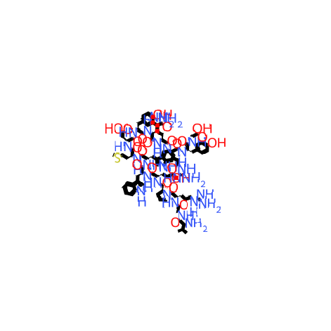 CSCC[C@H](NC(=O)[C@H](Cc1c[nH]c2ccccc12)NC(=O)[C@H](Cc1c[nH]c2ccccc12)NC(=O)[C@H](CCC(=O)O)NC(=O)[C@@H]1CCCN1C(=O)[C@H](CCCNC(=N)N)NC(=O)CNC(=O)[C@@H](N)C(C)C)C(=O)N[C@@H](CC(=O)O)C(=O)N[C@@H](Cc1ccc(O)cc1)C(=O)N[C@@H](CCC(N)=O)C(=O)N[C@@H](CCCCN)C(=O)N[C@@H](CCCNC(=N)N)C(=O)N[C@@H](Cc1ccc(O)cc1)C(=O)NCC(=O)O